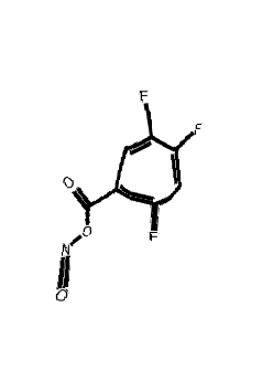 O=NOC(=O)c1cc(F)c(F)cc1F